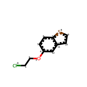 ClCCOc1ccc2sccc2c1